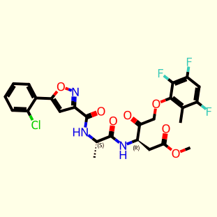 COC(=O)C[C@@H](NC(=O)[C@H](C)NC(=O)c1cc(-c2ccccc2Cl)on1)C(=O)COc1c(C)c(F)cc(F)c1F